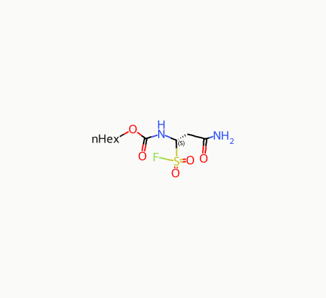 CCCCCCOC(=O)N[C@H](CC(N)=O)S(=O)(=O)F